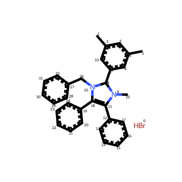 Br.Cc1cc(C)cc(C2N(C)C(c3ccccc3)=C(c3ccccc3)N2Cc2ccccc2)c1